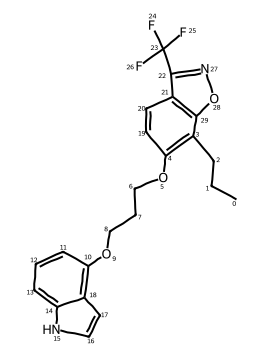 CCCc1c(OCCCOc2cccc3[nH]ccc23)ccc2c(C(F)(F)F)noc12